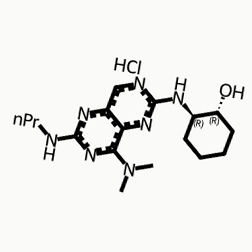 CCCNc1nc(N(C)C)c2nc(N[C@@H]3CCCC[C@H]3O)ncc2n1.Cl